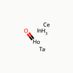 [Ce].[InH3].[O]=[Ho].[Ta]